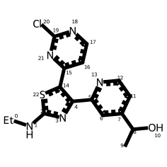 CCNc1nc(-c2cc(C(C)O)ccn2)c(-c2ccnc(Cl)n2)s1